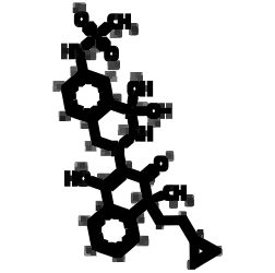 C[C@]1(CCC2CC2)C(=O)C(N2Cc3ccc(NS(C)(=O)=O)cc3S(O)(O)N2)=C(O)c2ccccc21